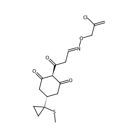 C=C(Cl)CON=CCC(=O)[C@H]1C(=O)C[C@H](C2(SC)CC2)CC1=O